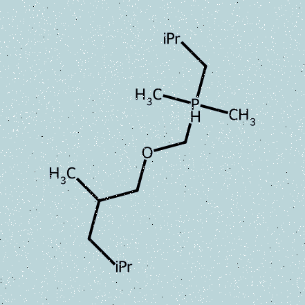 CC(C)CC(C)COC[PH](C)(C)CC(C)C